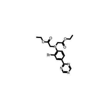 CCOC(=O)CN(CC(=O)OCC)c1ccc(-c2ncncn2)cc1Br